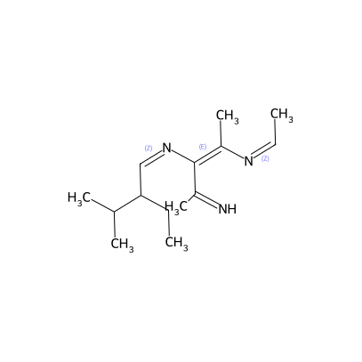 C\C=N/C(C)=C(/N=C\C(CC)C(C)C)C(C)=N